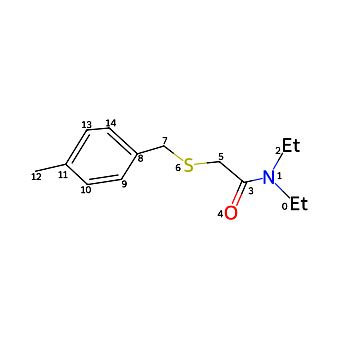 CCN(CC)C(=O)CSCc1ccc(C)cc1